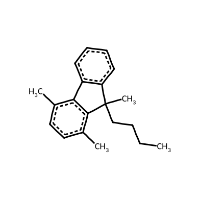 CCCCC1(C)c2ccccc2-c2c(C)ccc(C)c21